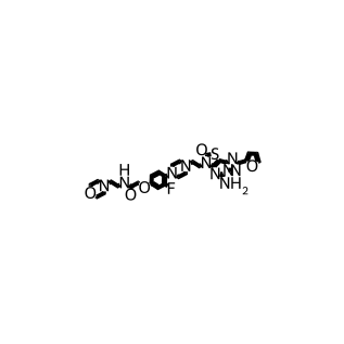 Nc1nc2c(sc(=O)n2CCN2CCN(c3ccc(OCC(=O)NCCN4CCOCC4)cc3F)CC2)c2nc(-c3ccco3)nn12